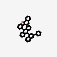 C1=CC2C=Cc3c(oc4cccc(-c5c6ccccc6c(-c6cc(-c7ccccc7)cc7ccccc67)c6ccccc56)c34)C2C=C1